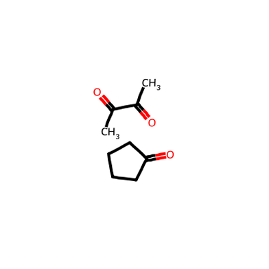 CC(=O)C(C)=O.O=C1CCCC1